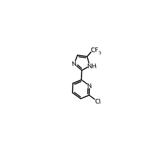 FC(F)(F)c1cnc(-c2cccc(Cl)n2)[nH]1